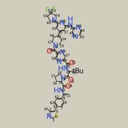 Cc1ncsc1-c1ccc(C(C)NC(=O)C2CCCN2C(=O)C(NC(=O)c2cnc(C(=O)N3CCC(c4cc(Nc5cnccn5)nc(N5CCC(F)(F)C5)c4)CC3)cn2)C(C)(C)C)cc1